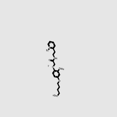 CCCCCCCCCCCCCCOc1ccc(OCC(=O)NCCc2cccc[n+]2CC)c(OC)c1.[I-]